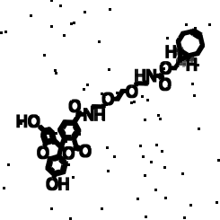 O=C(NCCOCCOCCNC(=O)c1ccc2c(c1)C(=O)OC21c2ccc(O)cc2Oc2cc(O)ccc21)OC[C@@H]1[C@@H]2CCC#CCC[C@@H]21